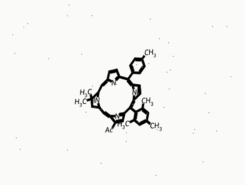 CC(=O)C1=CC2=NC/1=C\C1CC(C)(C)C(/C=C3/C=CC(=N3)/C(c3ccc(C)cc3)=c3/cc/c([nH]3)=C/2c2c(C)cc(C)cc2C)N1